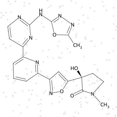 Cc1nnc(Nc2nccc(-c3cccc(-c4cc([C@]5(O)CCN(C)C5=O)on4)n3)n2)o1